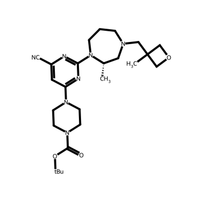 C[C@H]1CN(CC2(C)COC2)CCCN1c1nc(C#N)cc(N2CCN(C(=O)OC(C)(C)C)CC2)n1